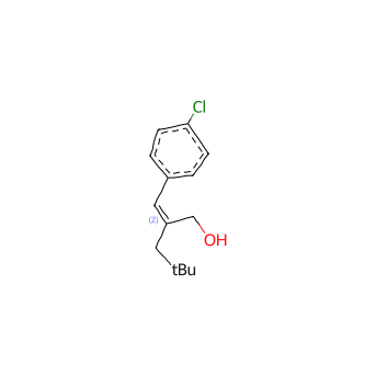 CC(C)(C)C/C(=C/c1ccc(Cl)cc1)CO